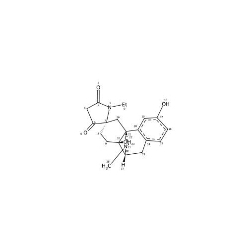 CCN1C(=O)CC(=O)[C@@]12CC[C@@]1(O)[C@H]3Cc4ccc(O)cc4[C@@]1(CCN3C)C2